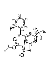 CCOC(=O)C1C(=O)C=C2N=C(C(C)(C)C)C=C(Cc3ccccc3F)N21